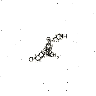 C=CC(c1ccc2cc(Cl)ccc2c1)S(=O)(=O)N1CCN(C(=O)CCC2CCNCC2)CC1.Cl